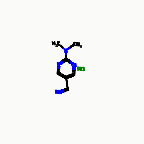 CN(C)c1ncc(C=N)cn1.Cl